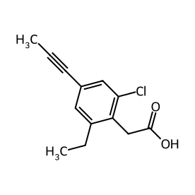 CC#Cc1cc(Cl)c(CC(=O)O)c(CC)c1